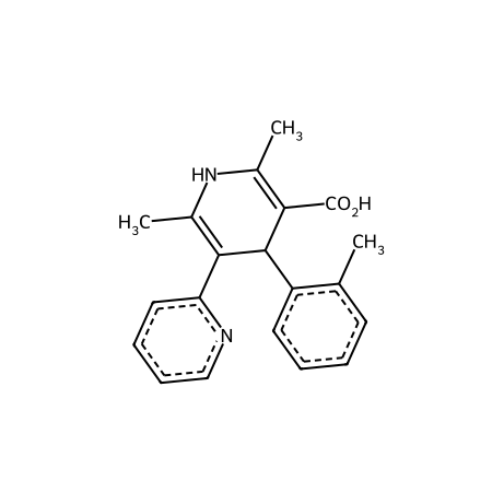 CC1=C(C(=O)O)C(c2ccccc2C)C(c2ccccn2)=C(C)N1